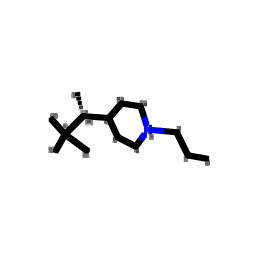 CCCN1CCC([C@@H](C)C(C)(C)C)CC1